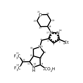 CCc1cc(CN2CC3C(C(=O)O)NC(C(C(F)(F)F)C(F)(F)F)C3C2)n(C2CCOCC2)n1